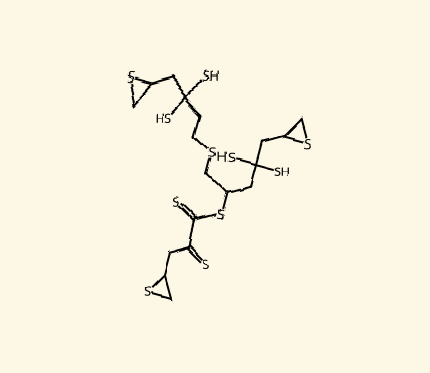 S=C(CC1CS1)C(=S)SC(CSCCC(S)(S)CC1CS1)CC(S)(S)CC1CS1